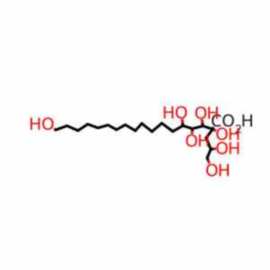 O=C(O)C(O)(CC(O)CO)C(O)C(O)C(O)CCCCCCCCCCCCCO